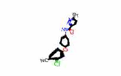 CC(C)c1ccc(C(=O)N[C@H]2CC[C@H](Oc3ccc(C#N)c(Cl)c3)CC2)nn1